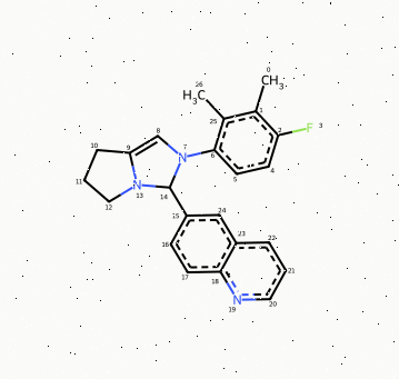 Cc1c(F)ccc(N2C=C3CCCN3C2c2ccc3ncccc3c2)c1C